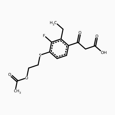 CCc1c(C(=O)CC(=O)O)ccc(SCCOC(C)=O)c1F